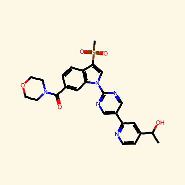 CC(O)c1ccnc(-c2cnc(-n3cc(S(C)(=O)=O)c4ccc(C(=O)N5CCOCC5)cc43)nc2)c1